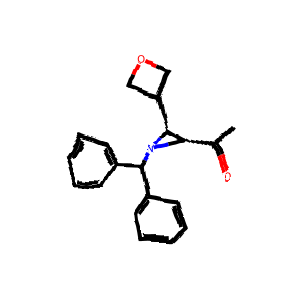 CC(=O)[C@@H]1[C@H](C2COC2)N1C(c1ccccc1)c1ccccc1